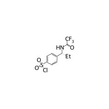 CC[C@@H](NC(=O)C(F)(F)F)c1ccc(S(=O)(=O)Cl)cc1